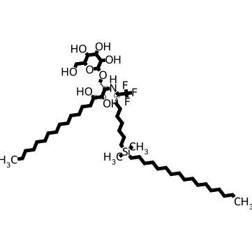 CCCCCCCCCCCCCCCCC[Si](C)(C)CCCCCCC[C@H](N[C@@H](COC1OC(CO)C(O)C(O)C1O)[C@H](O)[C@H](O)CCCCCCCCCCCCCC)C(F)(F)F